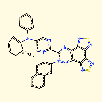 C[C@@H]1CC=CC=C1N(c1ccccc1)c1cnc(-c2nc3c4nsnc4c4nsnc4c3n[n+]2-c2ccc3ccccc3c2)nc1